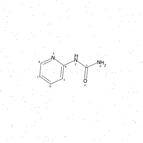 NC(=O)Nc1cc[c]cn1